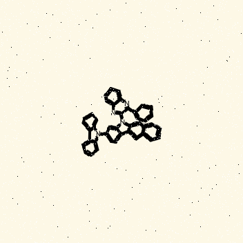 c1ccc(-c2nc3ccccc3nc2-n2c3cc(-n4c5ccccc5c5ccccc54)ccc3c3cc4ccccc4cc32)cc1